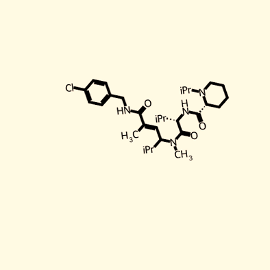 C/C(=C\C(C(C)C)N(C)C(=O)[C@@H](NC(=O)[C@H]1CCCCN1C(C)C)C(C)C)C(=O)NCc1ccc(Cl)cc1